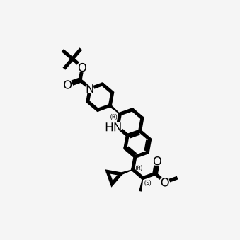 COC(=O)[C@@H](C)[C@H](c1ccc2c(c1)N[C@@H](C1CCN(C(=O)OC(C)(C)C)CC1)CC2)C1CC1